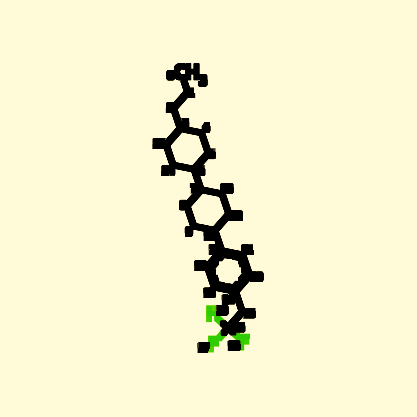 CCCC1CCC(C2CCC(c3ccc(CC(F)(F)F)cc3)CC2)CC1